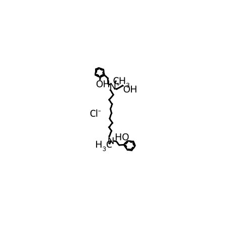 CN(CCCCCCCCCCC[N+](C)(CCO)CCc1ccccc1O)CCc1ccccc1O.[Cl-]